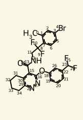 Cc1cc(Br)ccc1C(F)(F)CNC(=O)c1c(Oc2cccc(C(F)F)c2)nnc2c1CCCC2